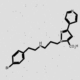 O=C(O)c1cc(-c2ccncc2)nn1CCCNCCc1ccc(Br)cc1